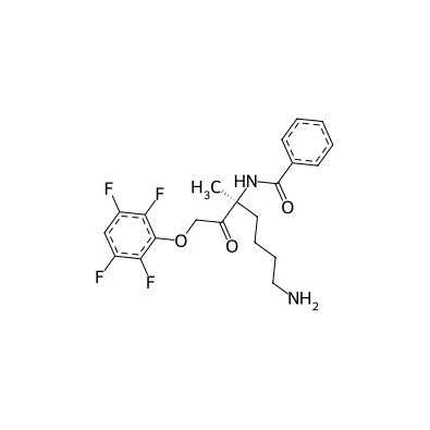 C[C@@](CCCCN)(NC(=O)c1ccccc1)C(=O)COc1c(F)c(F)cc(F)c1F